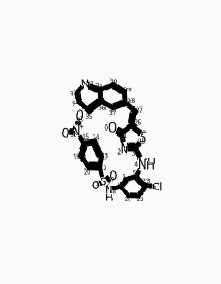 O=C1N=C(Nc2cc(NS(=O)(=O)c3ccc([N+](=O)[O-])cc3)ccc2Cl)SC1=Cc1ccc2ncccc2c1